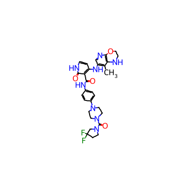 Cc1c(Nc2cc[nH]c(=O)c2C(=O)Nc2ccc(N3CCN(C(=O)N4CCC(F)(F)C4)CC3)cc2)cnc2c1NCCO2